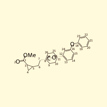 COC(=O)C1CC1CC[C@]12CC[C@](c3cccc(Oc4ccccc4)c3)(CC1)OC2